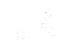 CNc1cc2c(cn1)c(-c1cnc(N3CCOCC3)nc1)nn2C1CCC(Oc2ccc(=O)n(C)n2)CC1